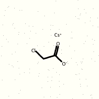 O=C([O-])CCl.[Cs+]